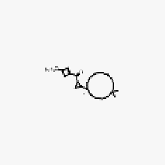 CC1(C)CCCCCCC[C@](C)(C2CC2C(=O)C2=CC(C(=O)O)C2)CCCC1